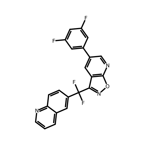 Fc1cc(F)cc(-c2cnc3onc(C(F)(F)c4ccc5ncccc5c4)c3c2)c1